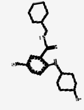 O=C(NCC1CCCCC1)c1cc([N+](=O)[O-])ccc1NC1CCC(O)CC1